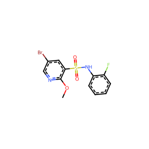 COc1ncc(Br)cc1S(=O)(=O)Nc1ccccc1F